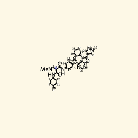 CN/C=C(\C(=O)Nc1ccc(F)cc1)C(=O)Nc1ccc(Oc2ncnc3oc(-c4cnn(C)c4)c(-c4ccccc4N)c23)cc1